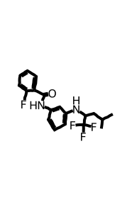 CC(C)CC(Nc1cccc(NC(=O)c2ccccc2F)c1)C(F)(F)F